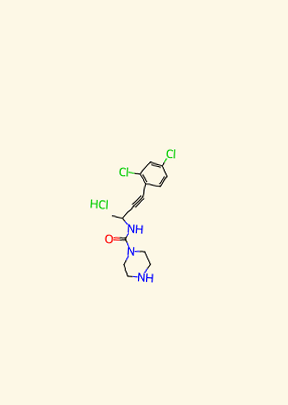 CC(C#Cc1ccc(Cl)cc1Cl)NC(=O)N1CCNCC1.Cl